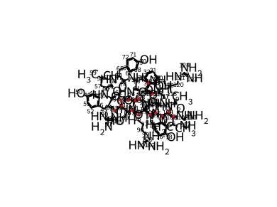 CC(=O)N[C@@H](CC(C)C)C(=O)N[C@@H](Cc1ccc(O)cc1)C(=O)N[C@@H](Cc1c[nH]c2ccccc12)C(=O)N[C@@H](CO)C(=O)N[C@@H](Cc1ccc(O)cc1)C(=O)N[C@@H](CC(C)C)C(=O)N[C@@H](Cc1ccc(O)cc1)C(=O)N[C@@H](CC(N)=O)C(=O)N[C@@H](CCCNC(=N)N)C(=O)N[C@@H](CCCNC(=N)N)C(=O)N[C@@H](CCCNC(=N)N)C(=O)N[C@@H](CCCNC(=N)N)C(=O)O